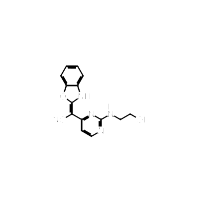 N#C/C(=C1/Nc2ccccc2O1)c1ccnc(NCCO)n1